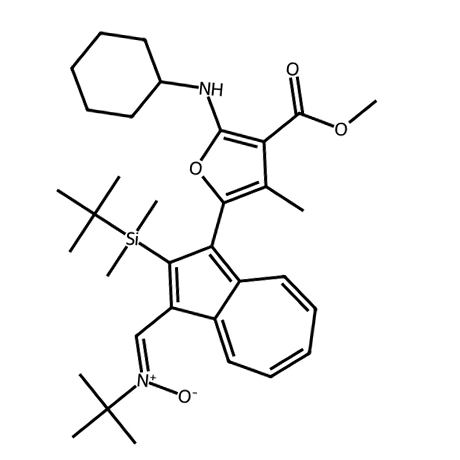 COC(=O)c1c(NC2CCCCC2)oc(-c2c3cccccc-3c(/C=[N+](\[O-])C(C)(C)C)c2[Si](C)(C)C(C)(C)C)c1C